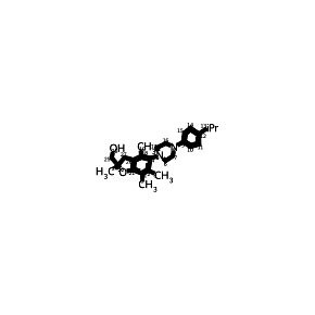 Cc1c(C)c(N2CCN(c3ccc(C(C)C)cc3)CC2)c(C)c2c1OC(C)(CO)C2